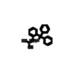 CCCCCCCC(c1ccccc1)(c1ccccc1)c1ccccc1OP(O)O